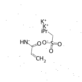 C=CC([NH-])=O.CC(C)CS(=O)(=O)[O-].[K+].[K+]